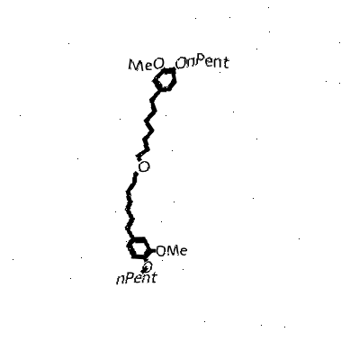 CCCCCOc1ccc(CCCCCCCOCCCCCCCc2ccc(OCCCCC)c(OC)c2)cc1OC